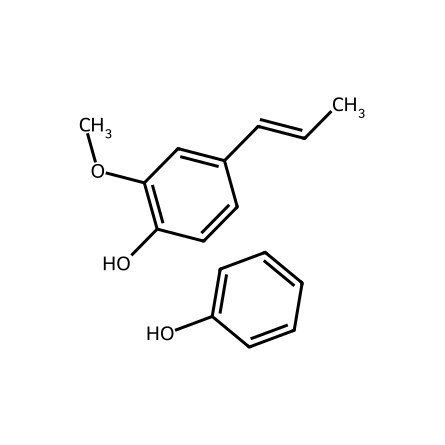 CC=Cc1ccc(O)c(OC)c1.Oc1ccccc1